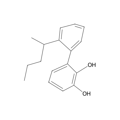 CCCC(C)c1ccccc1-c1cccc(O)c1O